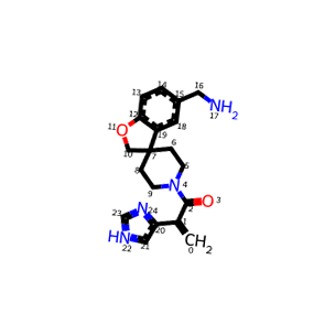 C=C(C(=O)N1CCC2(CC1)COc1ccc(CN)cc12)c1c[nH]cn1